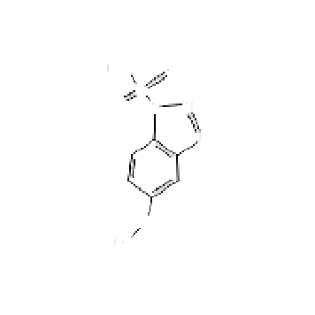 COc1ccc2c(c1)nnn2S(C)(=O)=O